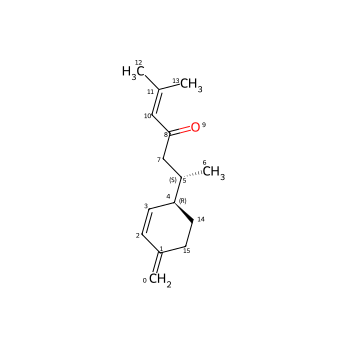 C=C1C=C[C@@H]([C@@H](C)CC(=O)C=C(C)C)CC1